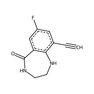 C#Cc1cc(F)cc2c1NCCNC2=O